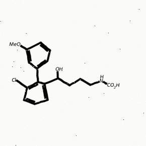 COc1cccc(-c2c(Cl)cccc2C(O)CCCNC(=O)O)c1